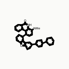 CNc1ccc(-c2cccc3oc4ccc(-c5ccc(-c6ccccc6)cc5)cc4c23)c2c1[nH]c(=O)c1ccccc12